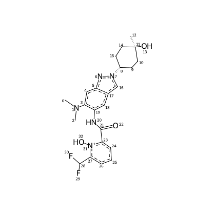 CN(C)c1cc2nn([C@H]3CC[C@](C)(O)CC3)cc2cc1NC(=O)c1cccc(C(F)F)[n+]1O